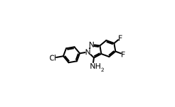 Nc1c2cc(F)c(F)cc2nn1-c1ccc(Cl)cc1